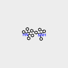 C1=C(c2ccccc2-c2ccccc2)NC(c2ccccc2)N=C1c1ccc(-c2cccc(C3=C(c4ccccc4)C(c4ccccc4)NC(c4ccccc4)=C3c3ccccc3)c2)cc1